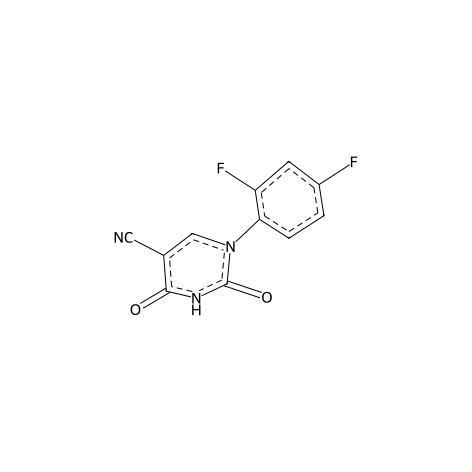 N#Cc1cn(-c2ccc(F)cc2F)c(=O)[nH]c1=O